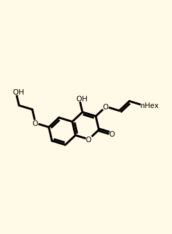 CCCCCCC=COc1c(O)c2cc(OCCO)ccc2oc1=O